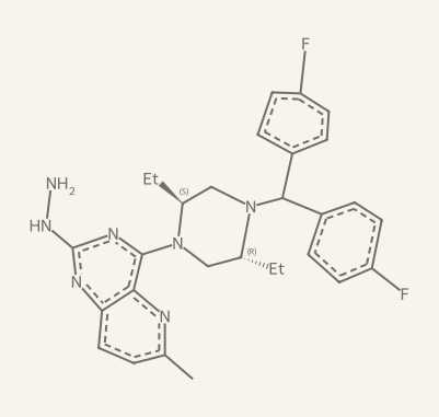 CC[C@H]1CN(C(c2ccc(F)cc2)c2ccc(F)cc2)[C@H](CC)CN1c1nc(NN)nc2ccc(C)nc12